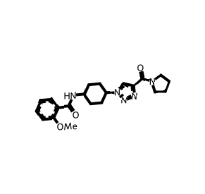 COc1ccccc1C(=O)NC1CCC(n2cc(C(=O)N3CCCC3)nn2)CC1